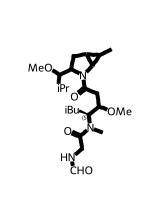 CCC(C)[C@@H](C(CC(=O)N1C(C(OC)C(C)C)CC2C(C)C21)OC)N(C)C(=O)CNC=O